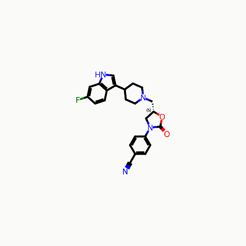 N#Cc1ccc(N2C[C@H](CN3CCC(c4c[nH]c5cc(F)ccc45)CC3)OC2=O)cc1